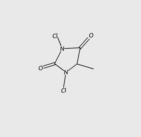 CC1C(=O)N(Cl)C(=O)N1Cl